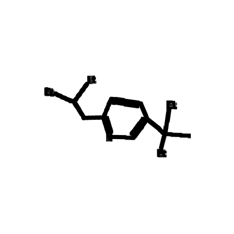 CCC(CC)Cc1ccc(C(C)(CC)CC)cn1